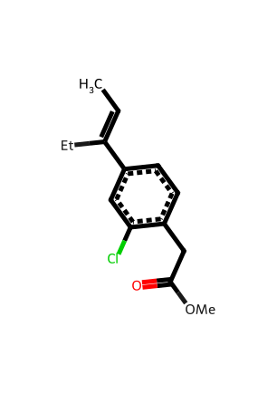 C/C=C(\CC)c1ccc(CC(=O)OC)c(Cl)c1